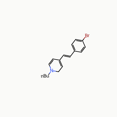 CCCCN1C=CC(C=Cc2ccc(Br)cc2)=CC1